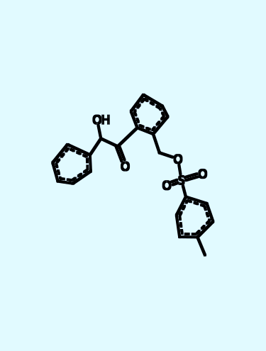 Cc1ccc(S(=O)(=O)OCc2ccccc2C(=O)C(O)c2ccccc2)cc1